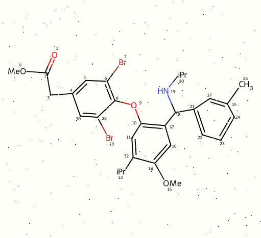 COC(=O)Cc1cc(Br)c(Oc2cc(C(C)C)c(OC)cc2C(NC(C)C)c2cccc(C)c2)c(Br)c1